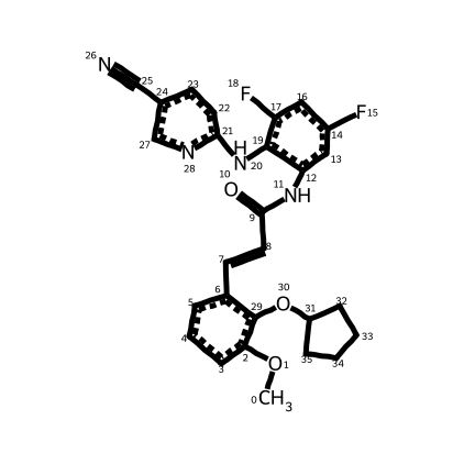 COc1cccc(/C=C/C(=O)Nc2cc(F)cc(F)c2Nc2ccc(C#N)cn2)c1OC1CCCC1